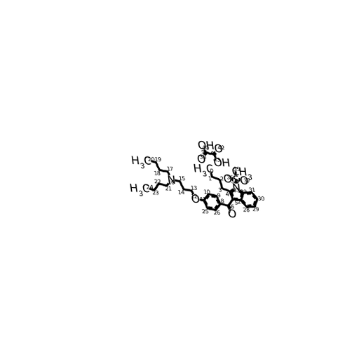 CCCCc1c(C(=O)c2ccc(OCCCN(CCCC)CCCC)cc2)c2ccccc2n1S(C)(=O)=O.O=C(O)C(=O)O